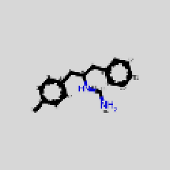 Cc1ccc(CC(Cc2ccccc2)NCN)cc1